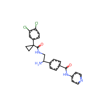 NC(CNC(=O)C1(c2ccc(Cl)c(Cl)c2)CC1)c1ccc(C(=O)Nc2ccncc2)cc1